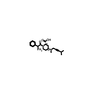 CC(C)C#CCN(C)[C@H]1CCN(C(=O)C(P)c2ccccc2)[C@H](C(=O)O)C1